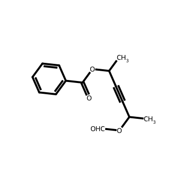 CC(C#CC(C)OC(=O)c1ccccc1)OC=O